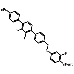 CCCCCc1ccc(OCc2ccc(-c3ccc(-c4ccc(CCC)cc4)c(F)c3F)cc2)cc1F